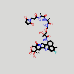 CC[C@@]1(O)C(=O)OCc2c1cc1n(c2=O)Cc2c-1nc1cc(F)c(C)c3c1c2[C@@H](NC(=O)C(C)(O)COCNC(=O)[C@H](C)NC(=O)[C@H](C)NC(=O)CCN1C(=O)C=CC1=O)CC3